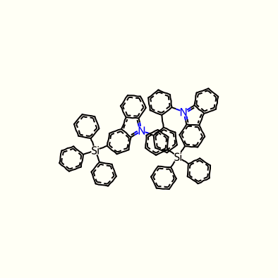 c1ccc([Si](c2ccccc2)(c2ccccc2)c2ccc3c(c2)c2ccccc2n3-c2ccccc2-c2ccccc2-n2c3ccccc3c3ccc([Si](c4ccccc4)(c4ccccc4)c4ccccc4)cc32)cc1